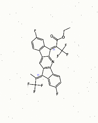 CCOC(=O)/C(=C1\c2cc(F)ccc2-c2cc3c(nc21)-c1ccc(F)cc1/C3=C(/C)C(F)(F)F)C(F)(F)F